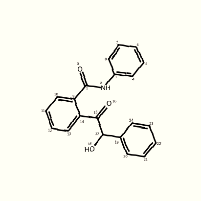 O=C(Nc1ccccc1)c1ccccc1C(=O)C(O)c1ccccc1